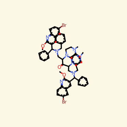 COc1nc2ccc(Br)cc2cc1C(c1ccccc1)N(Cc1ccccc1)CC(C(=O)C(CN(Cc1ccccc1)C(c1ccccc1)c1cc2cc(Br)ccc2nc1OC)N1CCN(C)CC1)N1CCN(C)CC1